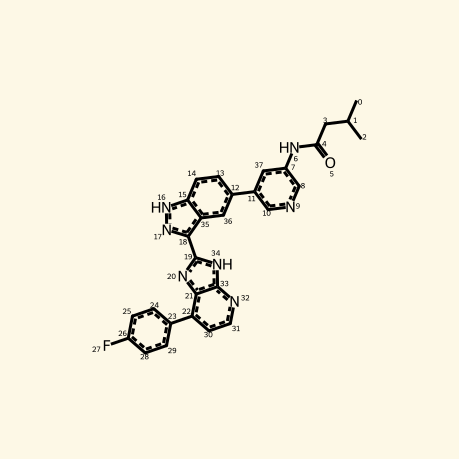 CC(C)CC(=O)Nc1cncc(-c2ccc3[nH]nc(-c4nc5c(-c6ccc(F)cc6)ccnc5[nH]4)c3c2)c1